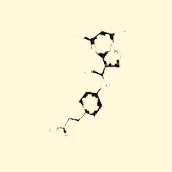 Cc1cc(C)n2ncc(C(=O)Nc3ccc(CCC(=O)O)cc3)c2n1